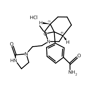 COC1(c2cccc(C(N)=O)c2)[C@@H]2CCC[C@H]1CN(CCN1CCNC1=O)C2.Cl